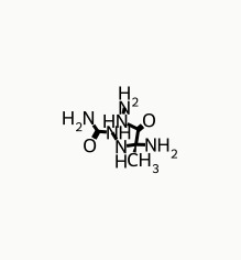 C[C@@](N)(NNC(N)=O)C(=O)NN